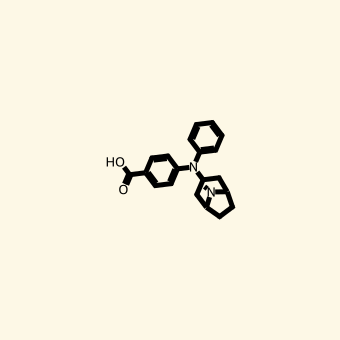 CN1C2CCC1CC(N(c1ccccc1)c1ccc(C(=O)O)cc1)C2